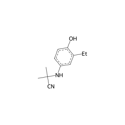 CCc1cc(NC(C)(C)C#N)ccc1O